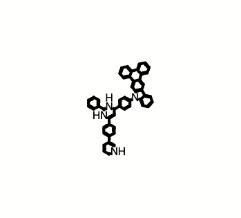 C1=CC(c2ccc(C3=CC(c4ccc(-n5c6ccccc6c6cc7c8ccccc8c8ccccc8c7cc65)cc4)NC(c4ccccc4)N3)cc2)=CNC1